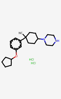 Cl.Cl.N#CC1(c2cccc(OC3CCCC3)c2)CCC(N2CCNCC2)CC1